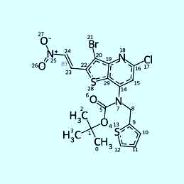 CC(C)(C)OC(=O)N(Cc1cccs1)c1cc(Cl)nc2c(Br)c(/C=C/[N+](=O)[O-])sc12